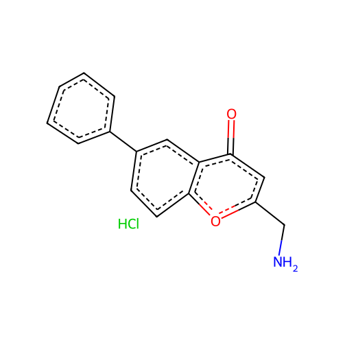 Cl.NCc1cc(=O)c2cc(-c3ccccc3)ccc2o1